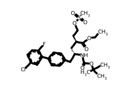 CCOC(=O)[C@H](CCOS(C)(=O)=O)C[C@@H](Cc1ccc(-c2cc(Cl)ccc2F)cc1)NC(=O)OC(C)(C)C